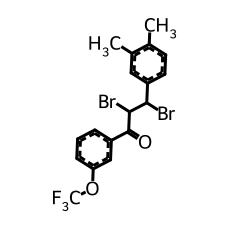 Cc1ccc(C(Br)C(Br)C(=O)c2cccc(OC(F)(F)F)c2)cc1C